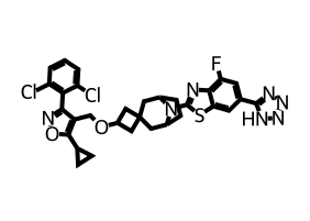 Fc1cc(-c2nnn[nH]2)cc2sc(N3C4CCC3CC3(CC(OCc5c(-c6c(Cl)cccc6Cl)noc5C5CC5)C3)C4)nc12